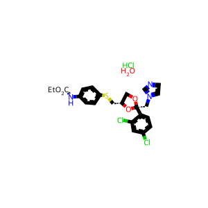 CCOC(=O)Nc1ccc(SC[C@@H]2CO[C@@](Cn3ccnc3)(c3ccc(Cl)cc3Cl)O2)cc1.Cl.O